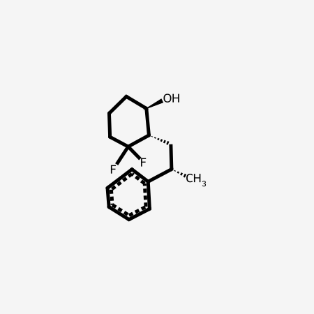 C[C@@H](C[C@H]1[C@H](O)CCCC1(F)F)c1ccccc1